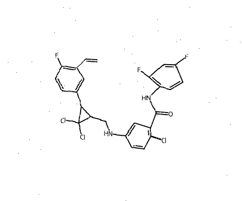 C=Cc1cc(C2C(CNc3ccc(Cl)c(C(=O)Nc4ccc(F)cc4F)c3)C2(Cl)Cl)ccc1F